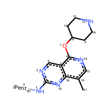 CCC[C@@H](C)Nc1ncc2c(OC3CCNCC3)ncc(C)c2n1